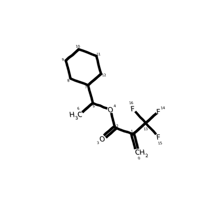 C=C(C(=O)OC(C)C1CCCCC1)C(F)(F)F